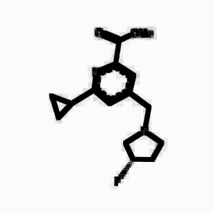 COC(=O)c1cc(CN2CC[C@H](F)C2)cc(C2CC2)n1